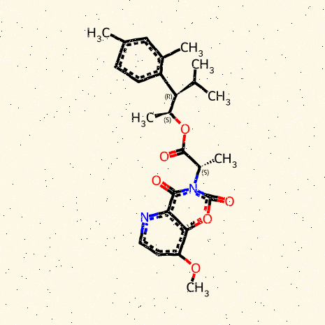 COc1ccnc2c(=O)n([C@@H](C)C(=O)O[C@@H](C)[C@@H](c3ccc(C)cc3C)C(C)C)c(=O)oc12